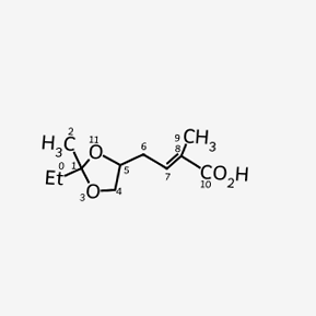 CCC1(C)OCC(CC=C(C)C(=O)O)O1